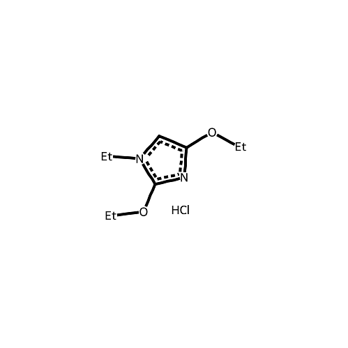 CCOc1cn(CC)c(OCC)n1.Cl